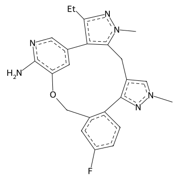 CCc1nn(C)c2c1-c1cnc(N)c(c1)OCc1cc(F)ccc1-c1nn(C)cc1C2